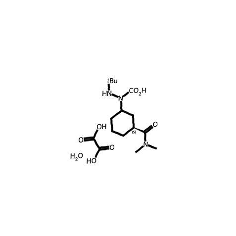 CN(C)C(=O)[C@H]1CCCC(N(NC(C)(C)C)C(=O)O)C1.O.O=C(O)C(=O)O